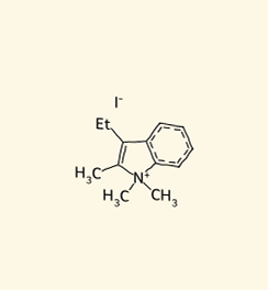 CCC1=C(C)[N+](C)(C)c2ccccc21.[I-]